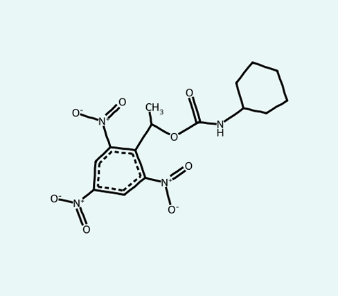 CC(OC(=O)NC1CCCCC1)c1c([N+](=O)[O-])cc([N+](=O)[O-])cc1[N+](=O)[O-]